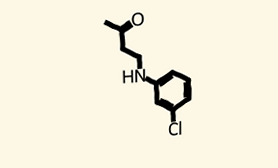 CC(=O)CCNc1cccc(Cl)c1